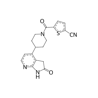 N#Cc1ccc(C(=O)N2CCC(c3ccnc4c3CC(=O)N4)CC2)s1